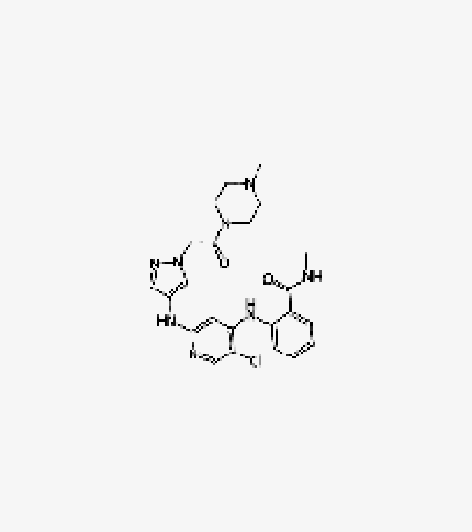 CNC(=O)c1ccccc1Nc1cc(Nc2cnn(CC(=O)N3CCN(C)CC3)c2)ncc1Cl